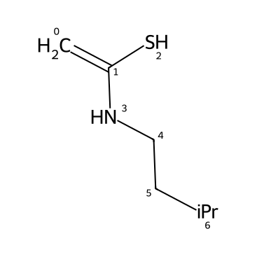 C=C(S)NCCC(C)C